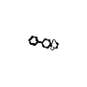 c1ccc(C2CCC3(CC2)OCCO3)cc1